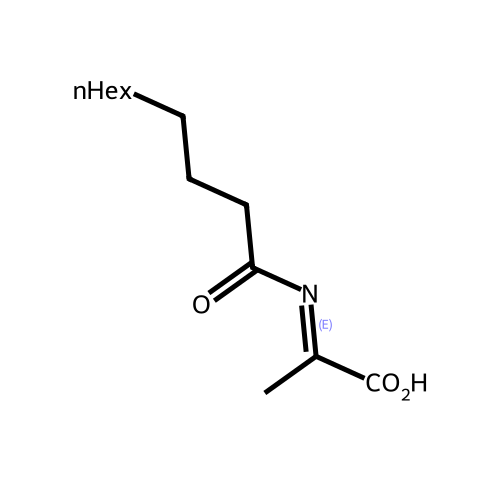 CCCCCCCCCC(=O)/N=C(\C)C(=O)O